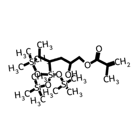 C=C(C)C(=O)OCC(O)CC(CC)[Si](O[Si](C)(C)C)(O[Si](C)(C)C)O[Si](C)(C)C